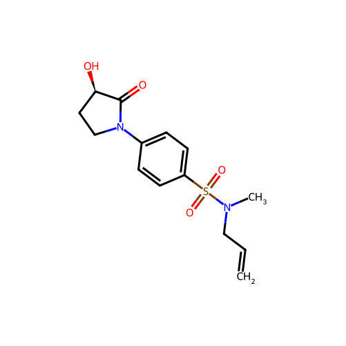 C=CCN(C)S(=O)(=O)c1ccc(N2CC[C@@H](O)C2=O)cc1